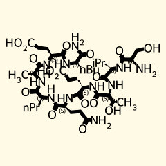 CCCC[C@H](NC(=O)[C@H](CCC(=O)O)NC(=O)[C@H](C)NC(=O)[C@H](CCC)NC(=O)[C@H](CCC(N)=O)NC(=O)[C@H](CCC(=O)O)NC(=O)[C@@H](NC(=O)[C@@H](NC(=O)[C@H](N)CO)C(C)C)[C@@H](C)O)C(N)=O